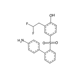 Nc1ccc(-c2ccccc2S(=O)(=O)c2ccc(O)c(CC(F)F)c2)cc1